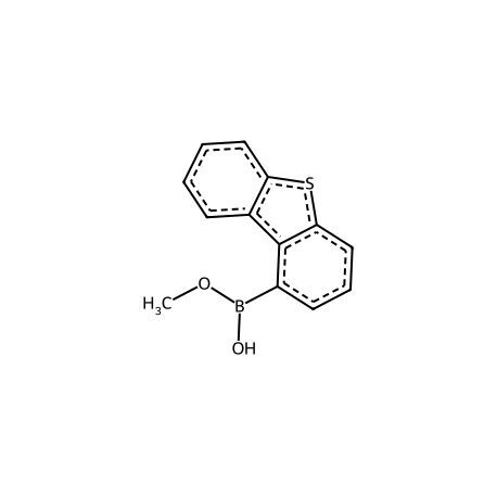 COB(O)c1cccc2sc3ccccc3c12